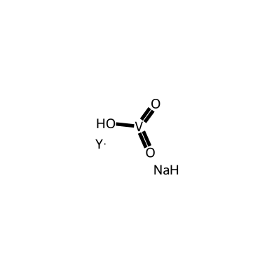 [NaH].[O]=[V](=[O])[OH].[Y]